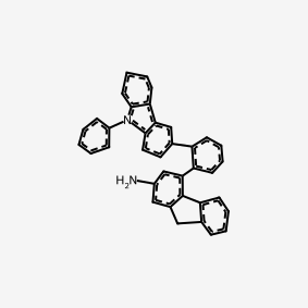 Nc1cc2c(c(-c3ccccc3-c3ccc4c(c3)c3ccccc3n4-c3ccccc3)c1)-c1ccccc1C2